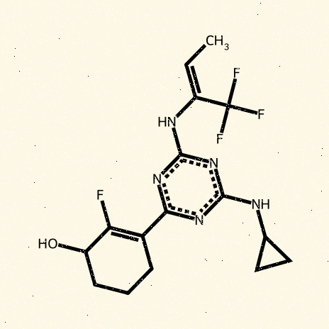 CC=C(Nc1nc(NC2CC2)nc(C2=C(F)C(O)CCC2)n1)C(F)(F)F